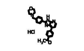 CC(=O)c1ccc(-c2ccnc3[nH]c(-c4ccc(CN5CCOCC5)cc4)nc23)cc1.Cl